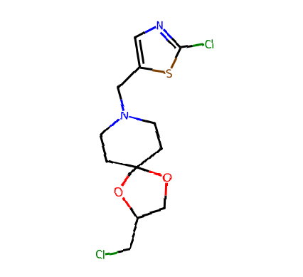 ClCC1COC2(CCN(Cc3cnc(Cl)s3)CC2)O1